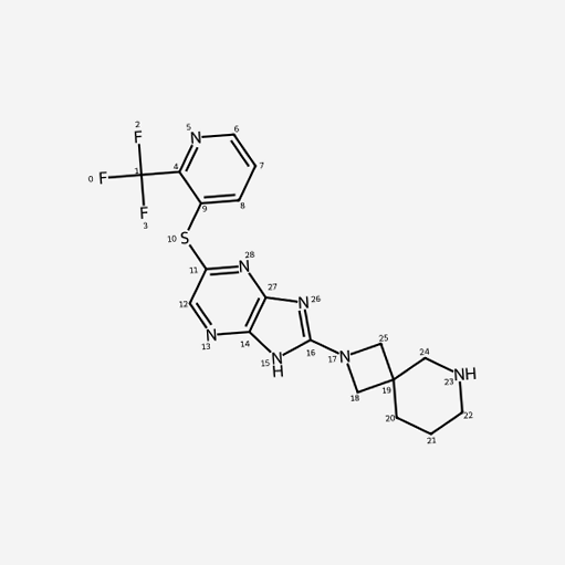 FC(F)(F)c1ncccc1Sc1cnc2[nH]c(N3CC4(CCCNC4)C3)nc2n1